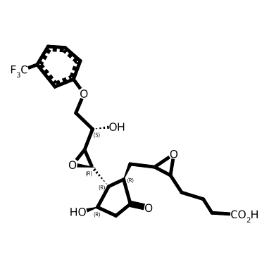 O=C(O)CCCC1OC1C[C@H]1C(=O)C[C@@H](O)[C@@H]1[C@H]1OC1[C@@H](O)COc1cccc(C(F)(F)F)c1